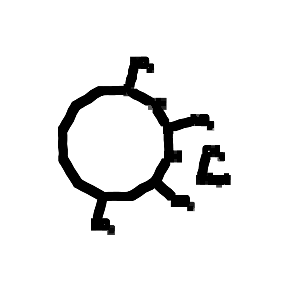 CCCCCCCC.O=[N+]([O-])C1CCCCCN([N+](=O)[O-])NN([N+](=O)[O-])NC([N+](=O)[O-])C1